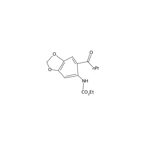 CCCC(=O)c1cc2c(cc1NC(=O)OCC)OCO2